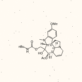 CCCCNC(=O)OCC1(O)[C@H](OC(C)=O)[C@]2(CC)C=CCN3CC[C@@]4(c5ccc(OC)cc5N(C)[C@@H]14)[C@@H]32